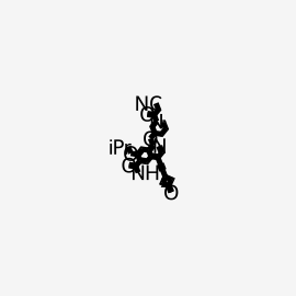 CC(C)Oc1cc2c(OC3CCCN(C(=O)CC#N)C3)ncc(C#CC3CC(=O)C3)c2cc1C(N)=O